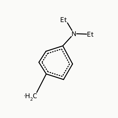 [CH2]c1ccc(N(CC)CC)cc1